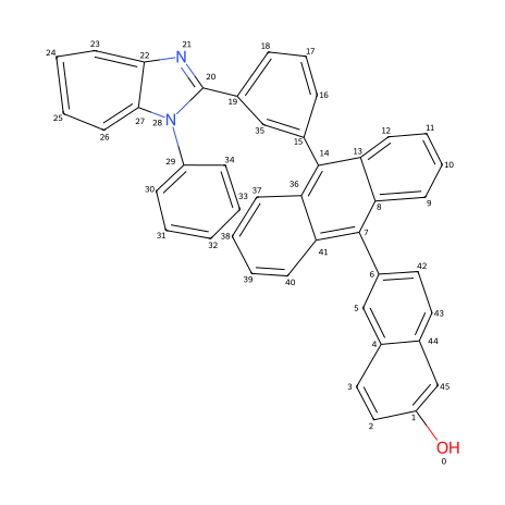 Oc1ccc2cc(-c3c4ccccc4c(-c4cccc(-c5nc6ccccc6n5-c5ccccc5)c4)c4ccccc34)ccc2c1